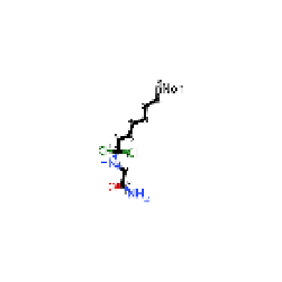 CCCCCCCCCCCCCCCC(Cl)(Cl)NCC(N)=O